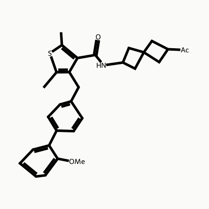 COc1ccccc1-c1ccc(Cc2c(C)sc(C)c2C(=O)NC2CC3(C2)CC(C(C)=O)C3)cc1